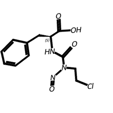 O=NN(CCCl)C(=O)N[C@@H](Cc1ccccc1)C(=O)O